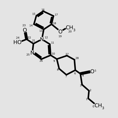 CCCCC(=O)C1CCC(C2=CN(c3ccccc3OC)C(C(=O)O)N=C2)CC1